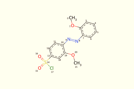 COc1ccccc1/N=N/c1ccc(S(=O)(=O)Cl)cc1OC